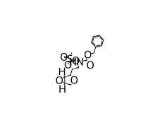 CS(=O)(=O)O[C@@H](CNC(=O)OCc1ccccc1)[C@H]1OC[C@@H]2O[C@H]12